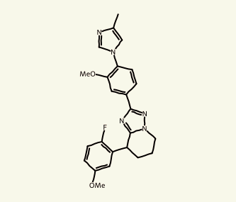 COc1ccc(F)c(C2CCCn3nc(-c4ccc(-n5cnc(C)c5)c(OC)c4)nc32)c1